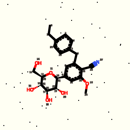 CCc1ccc(Cc2cc([C@@H]3O[C@H](CO)[C@@H](O)[C@H](O)[C@H]3O)cc(OC)c2C#N)cc1